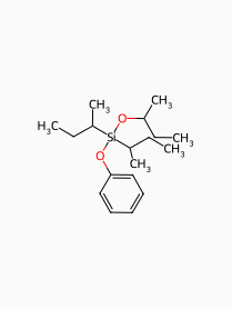 CCC(C)O[Si](Oc1ccccc1)(C(C)CC)C(C)CC